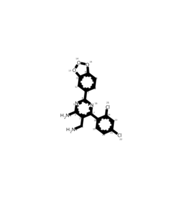 NCc1c(N)nc(-c2ccc3c(c2)OOO3)nc1-c1ccc(Cl)cc1Cl